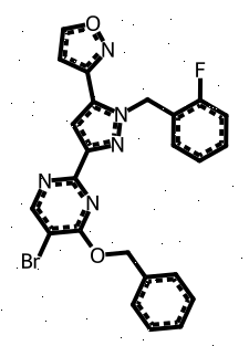 Fc1ccccc1Cn1nc(-c2ncc(Br)c(OCc3ccccc3)n2)cc1-c1ccon1